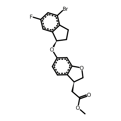 COC(=O)C[C@@H]1COc2cc(O[C@@H]3CCc4c(Br)cc(F)cc43)ccc21